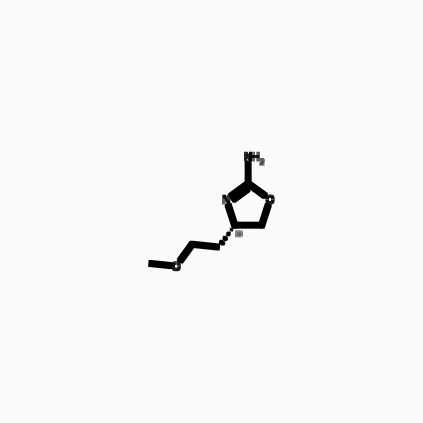 COCC[C@H]1COC(N)=N1